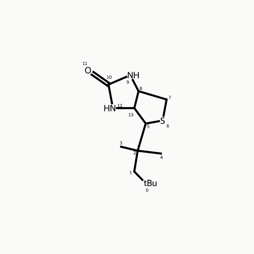 CC(C)(C)CC(C)(C)C1SCC2NC(=O)NC21